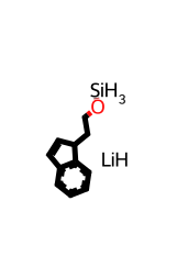 [LiH].[SiH3]OCCC1C=Cc2ccccc21